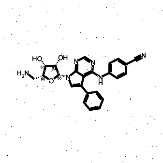 N#Cc1ccc(Nc2ncnc3c2c(-c2ccccc2)cn3[C@@H]2O[C@H](CN)[C@H](O)[C@@H]2O)cc1